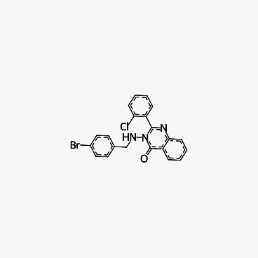 O=c1c2ccccc2nc(-c2ccccc2Cl)n1NCc1ccc(Br)cc1